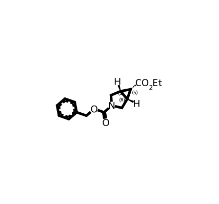 CCOC(=O)[C@@H]1[C@@H]2CN(C(=O)OCc3ccccc3)C[C@@H]21